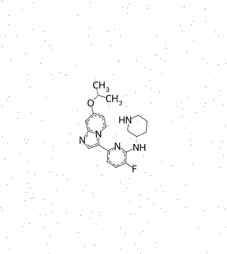 CC(C)Oc1ccn2c(-c3ccc(F)c(N[C@H]4CCCNC4)n3)cnc2c1